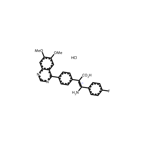 COc1cc2ncnc(-c3ccc(/C(C(=O)O)=C(\N)c4ccc(F)cc4)cc3)c2cc1OC.Cl